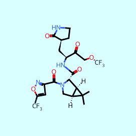 CC1(C)[C@@H]2[C@@H](C(=O)N[C@@H](C[C@@H]3CCNC3=O)C(=O)COC(F)(F)F)N(C(=O)c3cc(C(F)(F)F)on3)C[C@@H]21